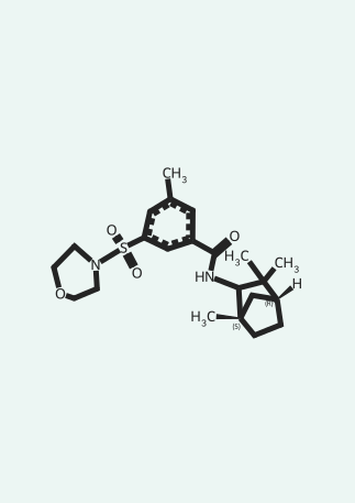 Cc1cc(C(=O)NC2C(C)(C)[C@@H]3CC[C@@]2(C)C3)cc(S(=O)(=O)N2CCOCC2)c1